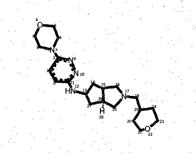 c1cc(N2CCOCC2)nnc1NC1CC2CN(CC3CCOCC3)C[C@H]2C1